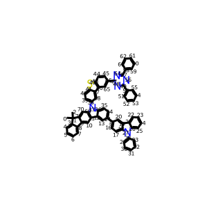 CC1(C)c2ccccc2-c2cc3c4cc(-c5ccc6c(c5)c5ccccc5n6-c5ccccc5)ccc4n(-c4ccc5sc6ccc(-c7nc(-c8ccccc8)nc(-c8ccccc8)n7)cc6c5c4)c3cc21